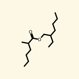 CCCCC(CC)COC(=O)C(C)CCCC